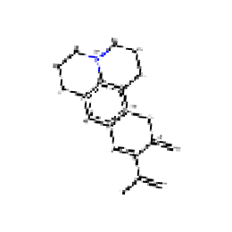 C=C(C)C1=Cc2cc3c4c(c2CC1=C)CCCN4CCC3